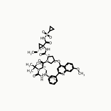 C=C[C@@H]1C[C@]1(NC(=O)[C@@H]1C[C@@H](Oc2cc(-c3ccccc3)nc3cc(OC)ccc23)CN1C(=O)[C@H](CNC)N(C(=O)O)C(C)(C)C)C(=O)NS(=O)(=O)C1CC1